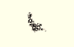 CC1[C@@](C)(CF)SC(N)=N[C@]1(C)c1cc(NC(=O)c2ccc(OCC(F)(F)F)cn2)ccc1F